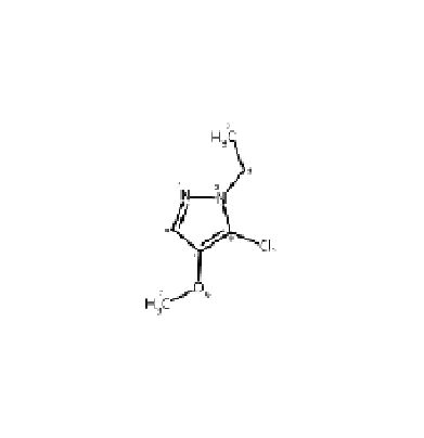 CCn1n[c]c(OC)c1Cl